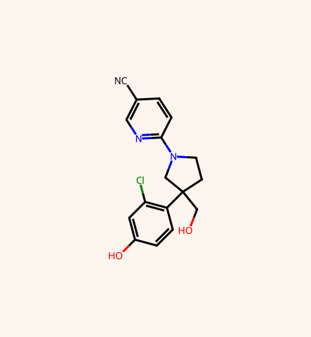 N#Cc1ccc(N2CCC(CO)(c3ccc(O)cc3Cl)C2)nc1